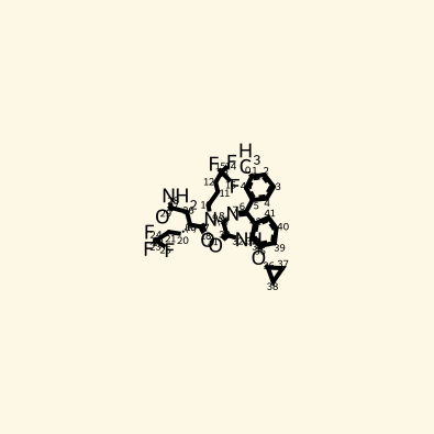 Cc1cccc(C2=N[C@@H](N(CCCC(F)(F)F)C(=O)[C@H](CCC(F)(F)F)CC(N)=O)C(=O)Nc3c(OC4CC4)cccc32)c1